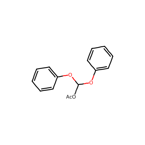 CC(=O)OC(Oc1ccccc1)Oc1ccccc1